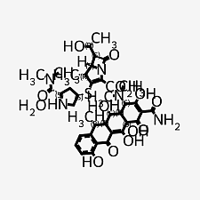 C[C@@H](O)[C@H]1C(=O)N2C(C(=O)O)=C(S[C@@H]3CN[C@H](C(=O)N(C)C)C3)[C@H](C)[C@H]12.C[C@H]1c2cccc(O)c2C(=O)C2=C(O)[C@]3(O)C(=O)C(C(N)=O)=C(O)[C@@H](N(C)C)[C@@H]3[C@@H](O)[C@@H]21.O